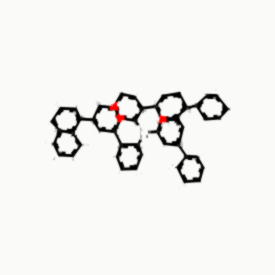 c1ccc(-c2ccc(-c3ccccc3N(c3cccc(-c4ccccc4)c3)c3ccccc3-c3cccc(-c4cccc5ccccc45)c3)cc2)cc1